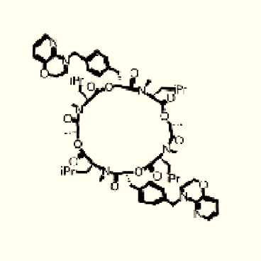 CC(C)C[C@H]1C(=O)O[C@H](Cc2ccc(CN3CCOc4cccnc43)cc2)C(=O)N(C)[C@@H](CC(C)C)C(=O)O[C@H](C)C(=O)N(C)[C@@H](CC(C)C)C(=O)O[C@H](Cc2ccc(CN3CCOc4cccnc43)cc2)C(=O)N(C)[C@@H](CC(C)C)C(=O)O[C@H](C)C(=O)N1C